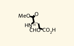 COC(=O)[C@H](CCC(=O)O)NC=O